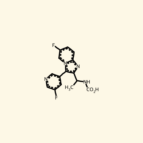 CC(NC(=O)O)c1nc2ccc(F)cn2c1-c1cncc(F)c1